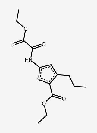 CCCc1cc(NC(=O)C(=O)OCC)sc1C(=O)OCC